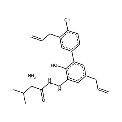 C=CCc1cc(NNC(=O)[C@@H](N)C(C)C)c(O)c(-c2ccc(O)c(CC=C)c2)c1